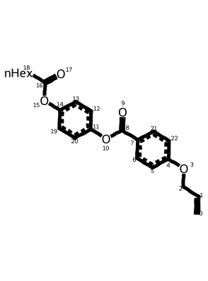 C=CCOc1ccc(C(=O)Oc2ccc(OC(=O)CCCCCC)cc2)cc1